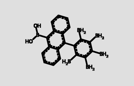 Bc1c(B)c(B)c(-c2c3ccccc3c(B(O)O)c3ccccc23)c(B)c1B